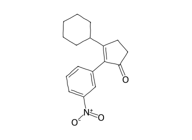 O=C1CCC(C2CCCCC2)=C1c1cccc([N+](=O)[O-])c1